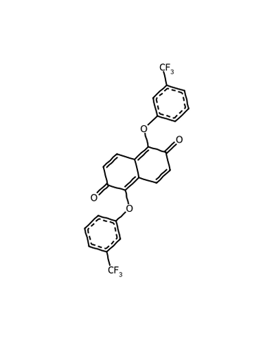 O=C1C=CC2=C(Oc3cccc(C(F)(F)F)c3)C(=O)C=CC2=C1Oc1cccc(C(F)(F)F)c1